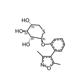 Cc1noc(C)c1-c1ccccc1O[C@@H]1SC[C@@H](O)[C@H](O)[C@H]1O